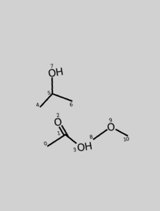 CC(=O)O.CC(C)O.COC